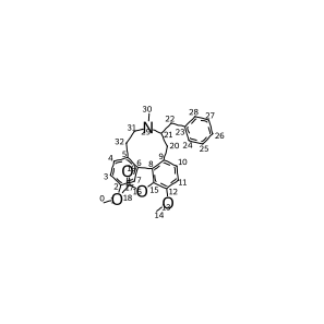 COc1ccc2c(c1)-c1c(ccc(OC)c1OC(C)=O)CC(Cc1ccccc1)N(C)CC2